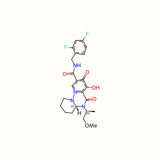 COC[C@H](C)N1C(=O)c2c(O)c(=O)c(C(=O)NCc3ccc(F)cc3F)cn2N2CCCC[C@@H]12